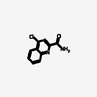 NC(=O)c1[c]c(Cl)c2ccccc2n1